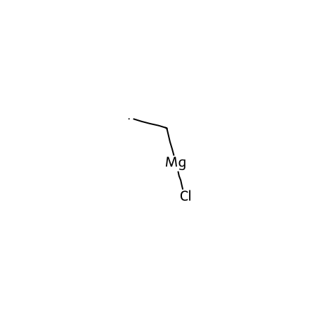 [CH2][CH2][Mg][Cl]